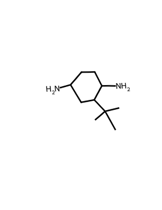 CC(C)(C)C1CC(N)CCC1N